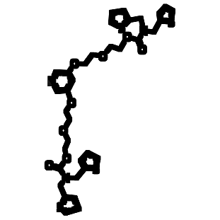 O=C(OCCOCCOc1cncc(OCCOCCOC(=O)N(Cc2cccs2)Cc2cccs2)c1)N(Cc1cccs1)Cc1cccs1